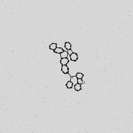 c1ccc(N(c2ccc3cc4c(cc3c2)C2(c3ccccc3-c3ccccc32)c2cc3ccccc3cc2-4)c2cccc3oc4ccccc4c23)cc1